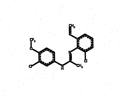 C=Cc1cccc(Cl)c1/N=C(\C)Nc1ccc(OC(F)(F)F)c(Cl)c1